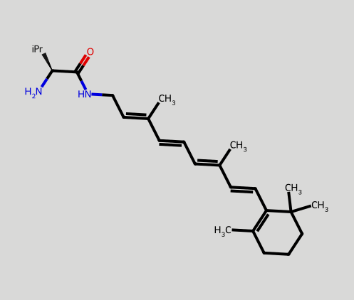 CC1=C(/C=C/C(C)=C/C=C/C(C)=C/CNC(=O)[C@@H](N)C(C)C)C(C)(C)CCC1